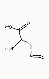 C=CCC(N)C(=O)O